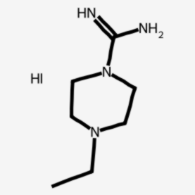 CCN1CCN(C(=N)N)CC1.I